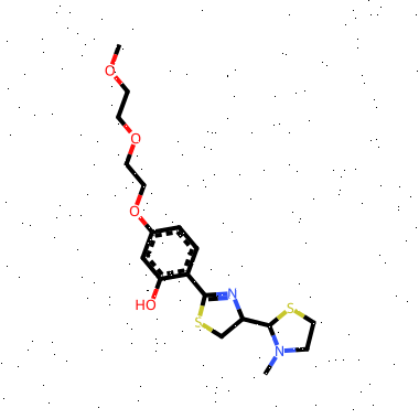 COCCOCCOc1ccc(C2=NC(C3SCCN3C)CS2)c(O)c1